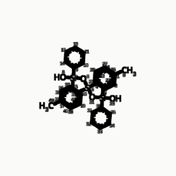 Cc1ccc([Si](O[Si](O)(c2ccccc2)c2ccccc2)(O[Si](O)(c2ccccc2)c2ccccc2)c2ccc(C)cc2)cc1